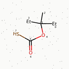 CCC(C)(CC)OC(=O)S